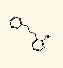 Nc1ncccc1CCCc1ccccc1